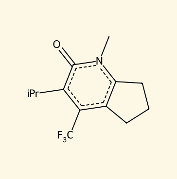 CC(C)c1c(C(F)(F)F)c2c(n(C)c1=O)CCC2